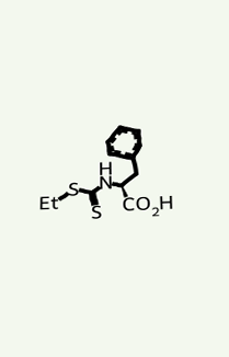 CCSC(=S)N[C@@H](Cc1ccccc1)C(=O)O